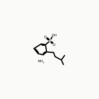 CC(C)CCc1ccccc1S(=O)(=O)O.N